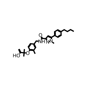 C=C(O)C(C)(C)Oc1ccc(CNC(=O)c2cc(-c3ccc(CCCC)cc3)n(C)n2)cc1C